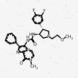 COCCN1C[C@@H](NC(=O)Nc2c(-c3ccccc3)nc3c(=O)n(C)ccn23)[C@H](c2ccc(F)c(F)c2)C1